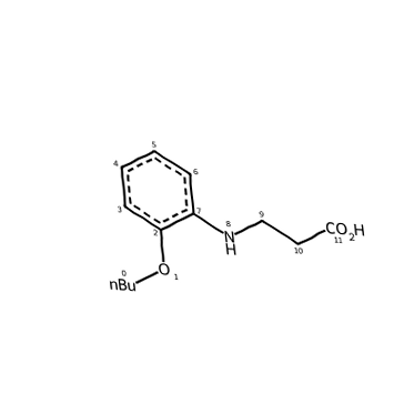 CCCCOc1ccccc1NCCC(=O)O